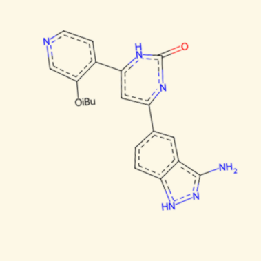 CC(C)COc1cnccc1-c1cc(-c2ccc3[nH]nc(N)c3c2)nc(=O)[nH]1